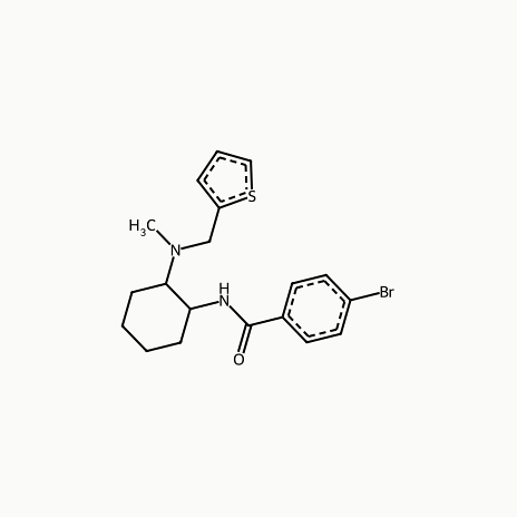 CN(Cc1cccs1)C1CCCCC1NC(=O)c1ccc(Br)cc1